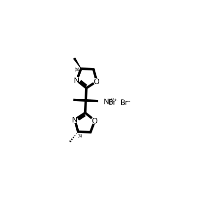 C[C@H]1COC(C(C)(C)C2=N[C@@H](C)CO2)=N1.[Br-].[Br-].[Ni+2]